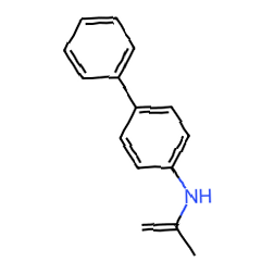 C=C(C)Nc1ccc(-c2ccccc2)cc1